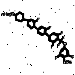 CCCCCCCC1CCC(c2ccc(-c3ccc(-c4cc(F)c(C(F)(F)Oc5cc(F)c(CCCC)c(F)c5)c(F)c4)c(F)c3)c(F)c2)CC1